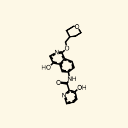 O=C(Nc1ccc2c(OCC3CCOCC3)ncc(O)c2c1)c1ncccc1O